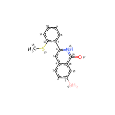 Bc1ccc2cc(-c3ccccc3SC)[nH]c(=O)c2c1